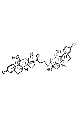 C[C@]12C=CC(=O)C=C1CC[C@@H]1[C@@H]2[C@@H](O)C[C@@]2(C)[C@H]1CC[C@]2(O)C(=O)CCCC(=O)[C@@]1(O)CC[C@H]2[C@@H]3CCC4=CC(=O)C=C[C@]4(C)[C@H]3[C@@H](O)C[C@@]21C